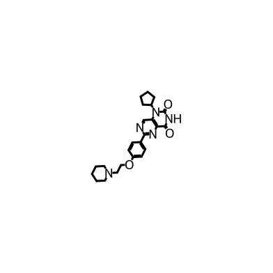 O=c1[nH]c(=O)n(C2CCCC2)c2cnc(-c3ccc(OCCN4CCCCC4)cc3)nc12